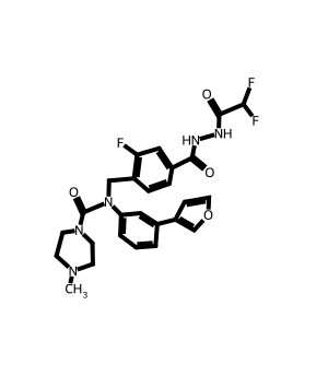 CN1CCN(C(=O)N(Cc2ccc(C(=O)NNC(=O)C(F)F)cc2F)c2cccc(-c3ccoc3)c2)CC1